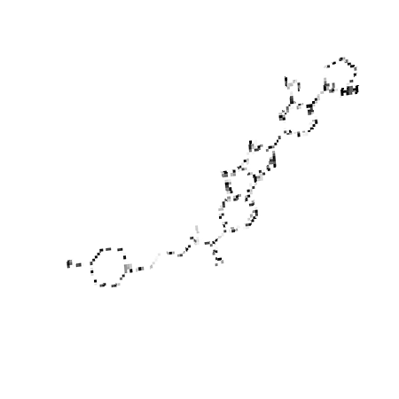 O=C(NCCCN1CCC(F)CC1)c1ccc2c(c1)sc1nc(-c3ccc([C@H]4CCCN4)c(C(F)(F)F)c3)cn12